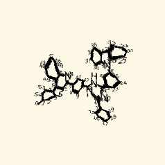 CC1C=c2sc3c(-c4ccc(C5=NC(c6ccccc6)=NC(c6cccc(-n7c8ccccc8c8ccccc87)c6)N5)cc4)nc4ccccc4c3c2=CC1